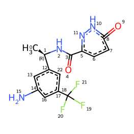 C[C@@H](NC(=O)c1ccc(=O)[nH]n1)c1cc(N)cc(C(F)(F)F)c1